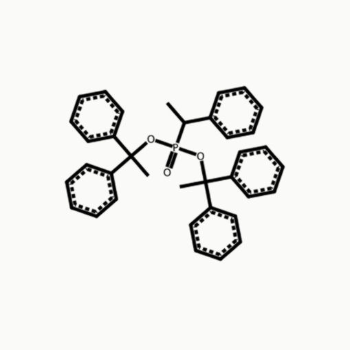 CC(c1ccccc1)P(=O)(OC(C)(c1ccccc1)c1ccccc1)OC(C)(c1ccccc1)c1ccccc1